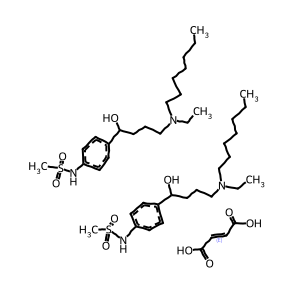 CCCCCCCN(CC)CCCC(O)c1ccc(NS(C)(=O)=O)cc1.CCCCCCCN(CC)CCCC(O)c1ccc(NS(C)(=O)=O)cc1.O=C(O)/C=C/C(=O)O